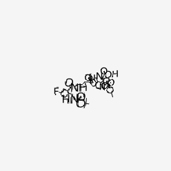 Cc1ccc(S(=O)(=O)Oc2c(C(=O)O)nc(N(C)S(=O)(=O)CCCCNC(=O)c3cc(F)ccc3CNC(=O)OC(C)(C)C)c3cccnc23)cc1